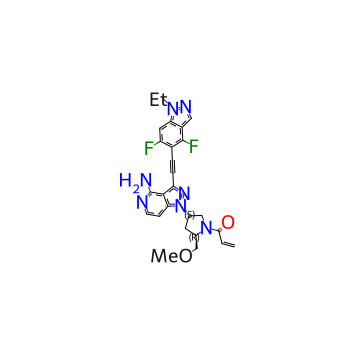 C=CC(=O)N1C[C@@H](n2nc(C#Cc3c(F)cc4c(cnn4CC)c3F)c3c(N)nccc32)C[C@@H]1COC